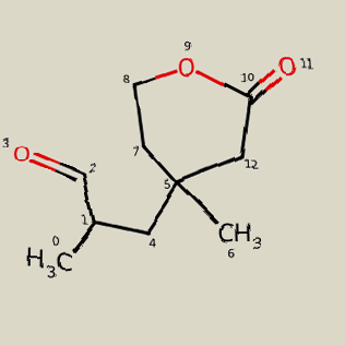 CC(C=O)CC1(C)CCOC(=O)C1